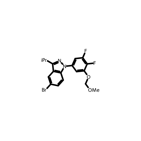 COCOc1cc(-n2nc(C(C)C)c3cc(Br)ccc32)cc(F)c1F